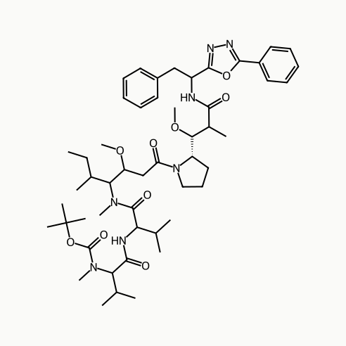 CCC(C)C(C(CC(=O)N1CCC[C@H]1C(OC)C(C)C(=O)NC(Cc1ccccc1)c1nnc(-c2ccccc2)o1)OC)N(C)C(=O)C(NC(=O)C(C(C)C)N(C)C(=O)OC(C)(C)C)C(C)C